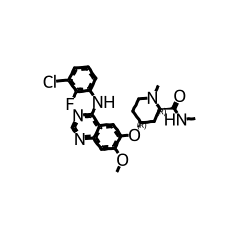 CNC(=O)[C@H]1C[C@H](Oc2cc3c(Nc4cccc(Cl)c4F)ncnc3cc2OC)CCN1C